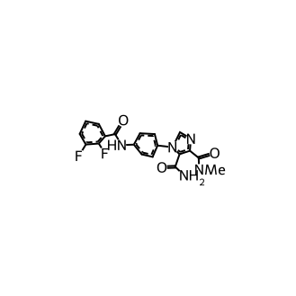 CNC(=O)c1ncn(-c2ccc(NC(=O)c3cccc(F)c3F)cc2)c1C(N)=O